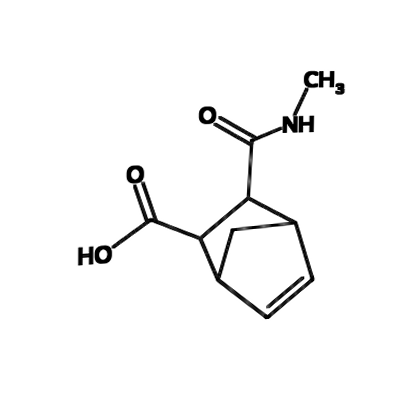 CNC(=O)C1C2C=CC(C2)C1C(=O)O